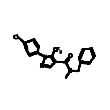 CN(Cc1ccccc1)C(=O)c1cnn(-c2ccc(Cl)cc2)c1C(F)(F)F